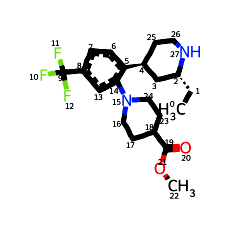 CC[C@@H]1C[C@@H](c2ccc(C(F)(F)F)cc2N2CCC(C(=O)OC)CC2)CCN1